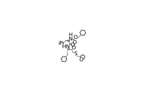 CC(C)C[C@@H](NC(=O)OCc1ccccc1)C(=O)N[C@@H](CCc1ccccc1)C(=O)CSCc1ccco1